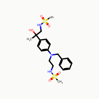 CCCS(=O)(=O)NCC(C)(O)c1ccc(N(CCNS(C)(=O)=O)Cc2ccccc2)cc1